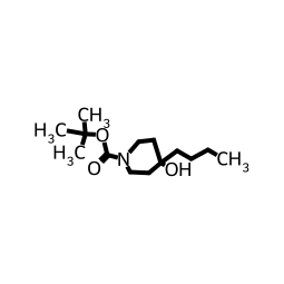 CCCCC1(O)CCN(C(=O)OC(C)(C)C)CC1